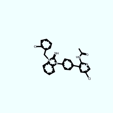 CC(=O)Nc1ncc(Cl)cc1-c1ccc(-n2c(=N)n(Cc3ccccc3Cl)c3ccccc32)cc1